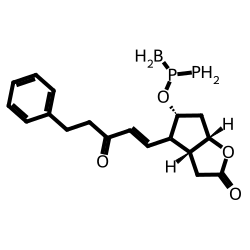 BP(P)O[C@@H]1C[C@@H]2OC(=O)C[C@@H]2C1/C=C/C(=O)CCc1ccccc1